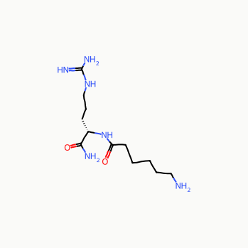 N=C(N)NCCC[C@H](NC(=O)CCCCCN)C(N)=O